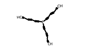 C#CC#CC#CP(C#CC#CC#C)C#CC#CC#C